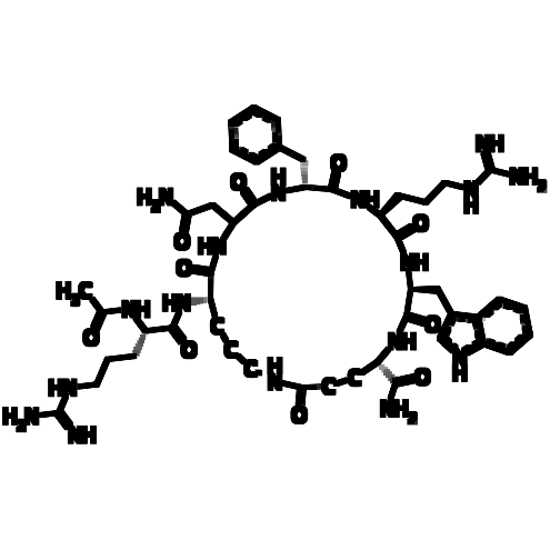 CC(=O)N[C@@H](CCCNC(=N)N)C(=O)N[C@H]1CCCNC(=O)CC[C@@H](C(N)=O)NC(=O)[C@H](Cc2c[nH]c3ccccc23)NC(=O)[C@H](CCCNC(=N)N)NC(=O)[C@@H](Cc2ccccc2)NC(=O)C(CC(N)=O)NC1=O